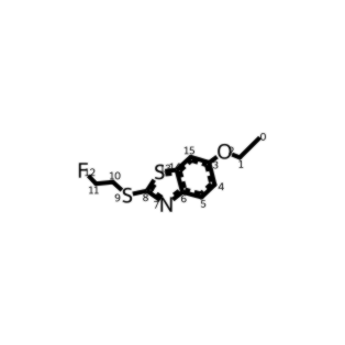 CCOc1ccc2nc(SCCF)sc2c1